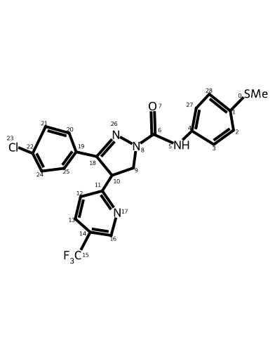 CSc1ccc(NC(=O)N2CC(c3ccc(C(F)(F)F)cn3)C(c3ccc(Cl)cc3)=N2)cc1